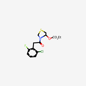 CCOC(=O)OC1CSCN1C(=O)Cc1c(F)cccc1Cl